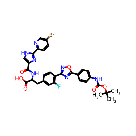 CC(C)(C)OC(=O)Nc1ccc(-c2nc(-c3ccc(CC(NC(=O)c4c[nH]c(-c5ccc(Br)cn5)n4)C(=O)O)cc3F)no2)cc1